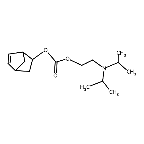 CC(C)N(CCOC(=O)OC1CC2C=CC1C2)C(C)C